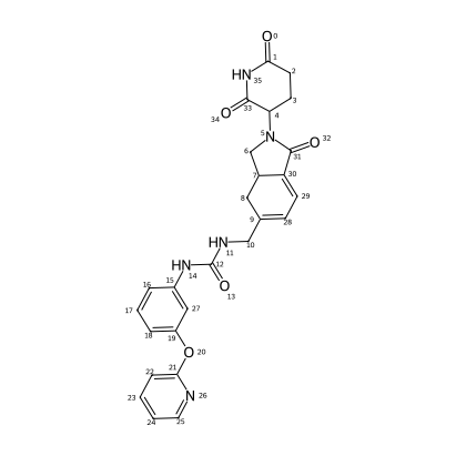 O=C1CCC(N2CC3CC(CNC(=O)Nc4cccc(Oc5ccccn5)c4)=CC=C3C2=O)C(=O)N1